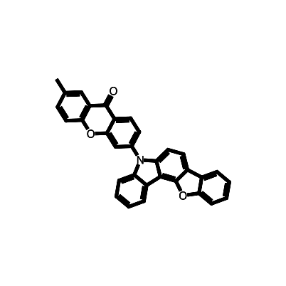 Cc1ccc2oc3cc(-n4c5ccccc5c5c6oc7ccccc7c6ccc54)ccc3c(=O)c2c1